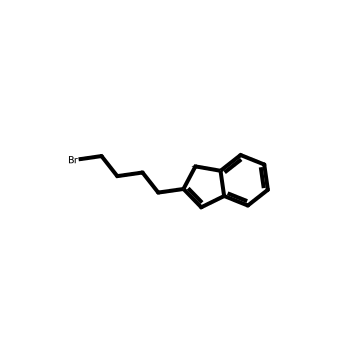 BrCCCCC1=Cc2ccccc2[CH]1